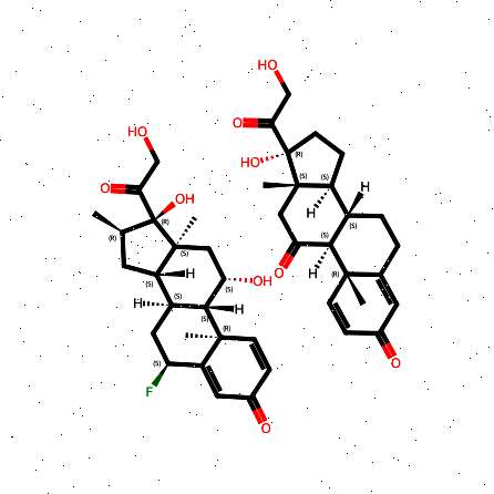 C[C@@H]1C[C@H]2[C@@H]3C[C@H](F)C4=CC(=O)C=C[C@]4(C)[C@H]3[C@@H](O)C[C@]2(C)[C@@]1(O)C(=O)CO.C[C@]12C=CC(=O)C=C1CC[C@@H]1[C@@H]2C(=O)C[C@@]2(C)[C@H]1CC[C@]2(O)C(=O)CO